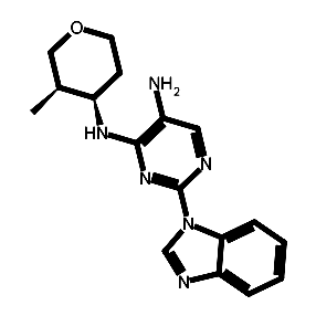 C[C@H]1COCC[C@H]1Nc1nc(-n2cnc3ccccc32)ncc1N